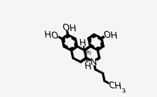 CCCCN1Cc2cc(O)ccc2[C@H]2c3cc(O)c(O)cc3CC[C@@H]21